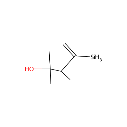 C=C([SiH3])C(C)C(C)(C)O